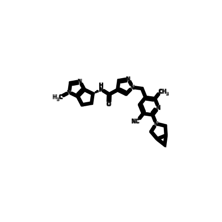 Cc1nc(N2CC3CC3C2)c(C#N)cc1Cn1cc(C(=O)N[C@@H]2CCc3c2ncn3C)cn1